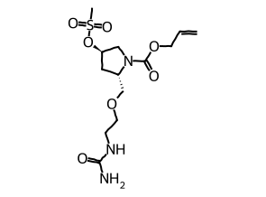 C=CCOC(=O)N1C[C@H](OS(C)(=O)=O)C[C@H]1COCCNC(N)=O